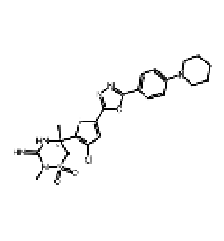 CN1C(=N)N[C@](C)(c2sc(-c3nnc(-c4ccc(N5CCCCC5)cc4)o3)cc2Cl)CS1(=O)=O